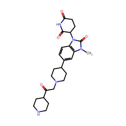 Cn1c(=O)n(C2CCC(=O)NC2=O)c2ccc(C3CCN(CC(=O)C4CCNCC4)CC3)cc21